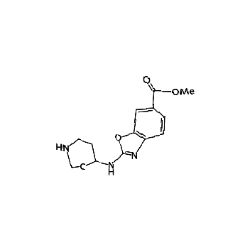 COC(=O)c1ccc2nc(NC3CCNCC3)oc2c1